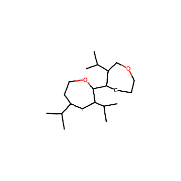 CC(C)C1[CH]C(C(C)C)C(C2CCCOCC2C(C)C)OCC1